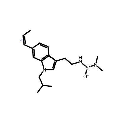 C/C=C\c1ccc2c(CCN[S+]([O-])N(C)C)cn(CC(C)C)c2c1